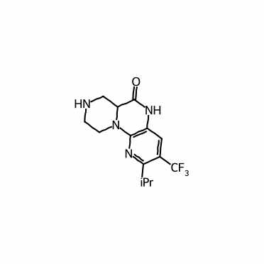 CC(C)c1nc2c(cc1C(F)(F)F)NC(=O)C1CNCCN21